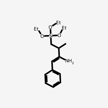 CCO[Si](CC(C)C(N)=Cc1ccccc1)(OCC)OCC